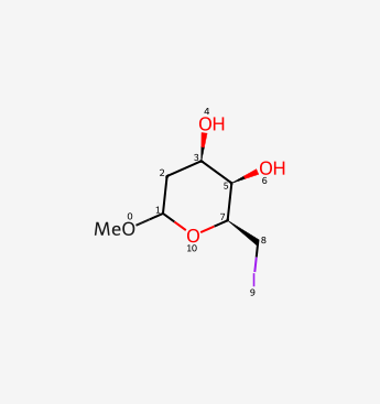 COC1C[C@@H](O)[C@@H](O)[C@@H](CI)O1